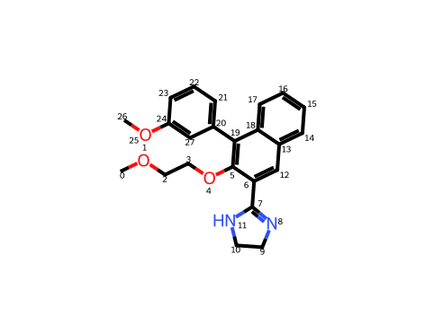 COCCOc1c(C2=NCCN2)cc2ccccc2c1-c1cccc(OC)c1